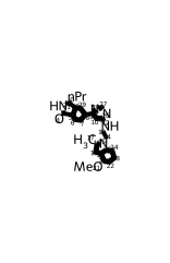 CCC[C@H]1NC(=O)c2ccc(-c3cc(NCCn4c(C)cc5c(OC)cccc54)ncn3)cc21